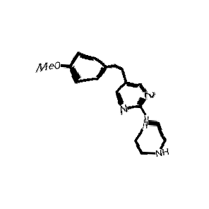 COc1ccc(Cc2cnc(N3CCNCC3)nc2)cc1